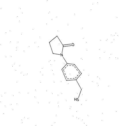 O=C1CCCN1c1ccc(CS)cc1